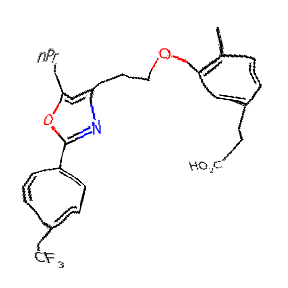 CCCc1oc(-c2ccc(C(F)(F)F)cc2)nc1CCOc1cc(CC(=O)O)ccc1C